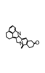 C=C1C2=C(C=C3c4nc5cccc6c5c(c4CN13)CCC6)CC(=O)CC2